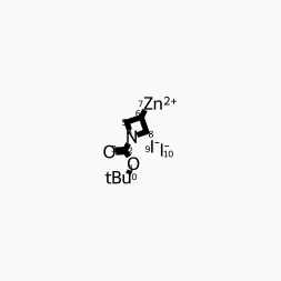 CC(C)(C)OC(=O)N1C[CH]([Zn+2])C1.[I-].[I-]